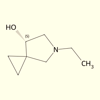 CCN1C[C@@H](O)C2(CC2)C1